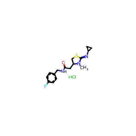 CN1C(=NC2CC2)SCC1CC(=O)NCc1ccc(F)cc1.Cl